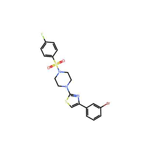 O=S(=O)(c1ccc(F)cc1)N1CCN(c2nc(-c3cccc(Br)c3)cs2)CC1